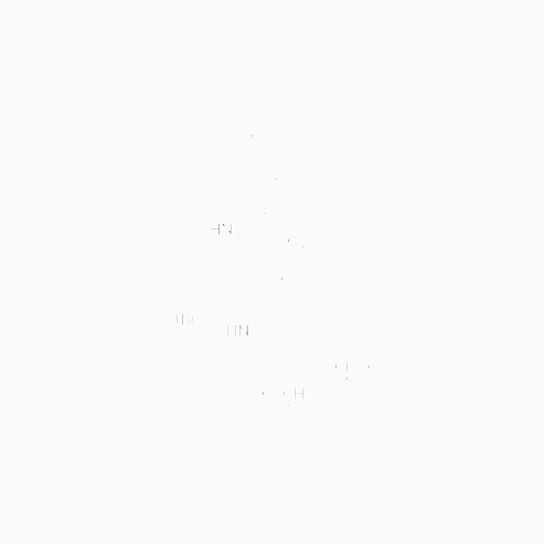 CC(C)(C)CC(NC(=O)C1CC1)C(=O)NC(CC=O)C(=O)O